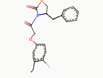 Cc1cc(OCC(=O)N2C(=O)OCC2Cc2ccccc2)ccc1F